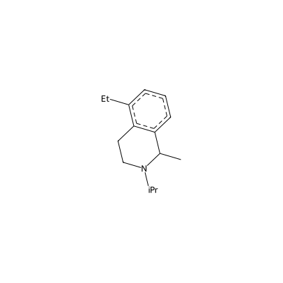 CCc1cccc2c1CCN(C(C)C)C2C